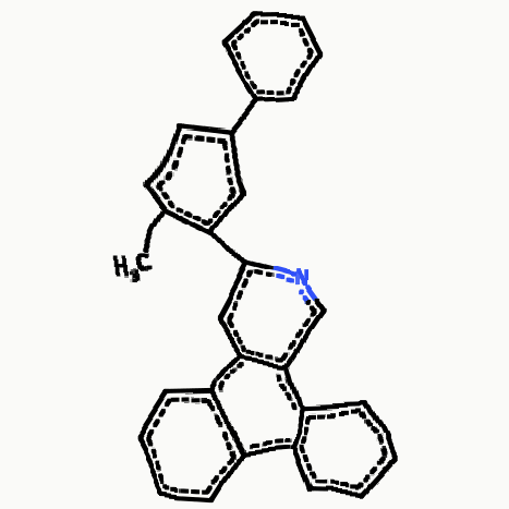 Cc1ccc(-c2ccccc2)cc1-c1cc2c3ccccc3c3ccccc3c2cn1